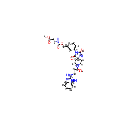 COC(=O)CCNC(=O)OCc1cccc(N2C(=O)NC3(CCN(C(=O)CCNc4nc5ccccc5[nH]4)CC3)C2=O)c1